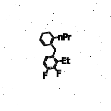 CCCC1=C(Cc2ccc(F)c(F)c2CC)C=CCC1